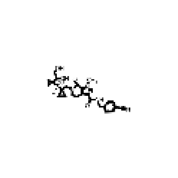 Cn1nc(C(=O)NCc2ccc(C#N)cc2)c2c1C(=O)N(CC1(S(=O)(=O)C3([C@H](O)CO)CC3)CC1)CC2